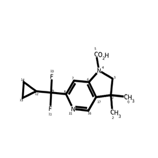 CC1(C)CN(C(=O)O)c2cc(C(F)(F)C3CC3)ncc21